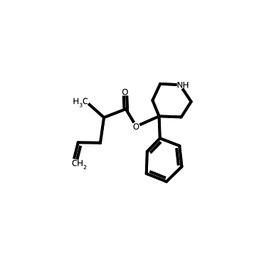 C=CCC(C)C(=O)OC1(c2ccccc2)CCNCC1